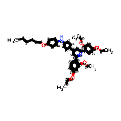 CCCCCCOc1ccc(Nc2ccc(-c3cc(-c4ccc(OCC)cc4OCC)nc(-c4ccc(OCC)cc4OCC)c3)cc2)cc1